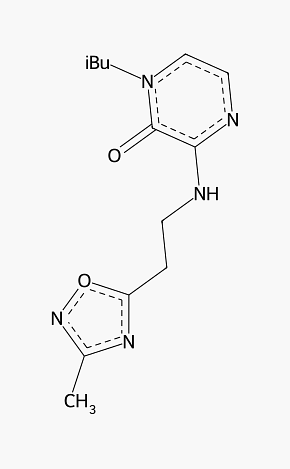 CCC(C)n1ccnc(NCCc2nc(C)no2)c1=O